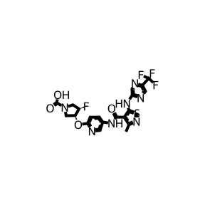 Cc1nsc(Nc2cnc(C(F)(F)F)cn2)c1C(=O)Nc1ccc(O[C@@H]2CN(C(=O)O)C[C@@H]2F)nc1